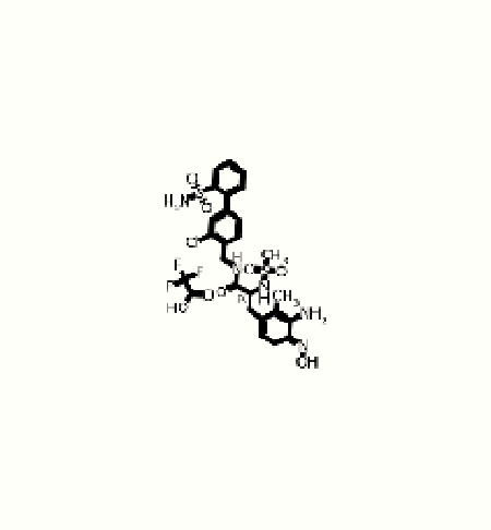 CC1=C(N)C(=NO)CC=C1C[C@H](NS(C)(=O)=O)C(=O)NCc1ccc(-c2ccccc2S(N)(=O)=O)cc1Cl.O=C(O)C(F)(F)F